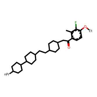 CCCC1CCC(C2CCC(CCC3CCC(CC(=O)c4ccc(OCC)c(F)c4C)CC3)CC2)CC1